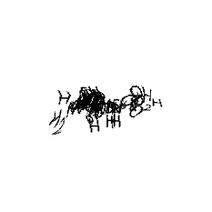 CC(C)(C)OC(=O)N[C@@H](Cc1ccccc1)C(=O)NP(=O)(OCCCCCCNC(=S)Nc1ccc(-c2c3ccc(=O)cc-3oc3cc(O)ccc23)c(C(=O)O)c1)OC[C@H]1O[C@@H](n2cnc3c(N)ncnc32)[C@@H]2OC(C)(C)O[C@@H]21